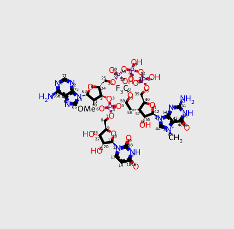 CO[C@@H]1[C@H](OP(=O)([O-])OC[C@H]2O[C@@H](n3ccc(=O)[nH]c3=O)[C@H](O)[C@@H]2O)[C@@H](COP(=O)(O)OP(=O)(O)OP(=O)(O)OC[C@H]2O[C@@H](n3c[n+](C)c4c(=O)[nH]c(N)nc43)[C@H](O)[C@@H]2CCOC(F)(F)F)O[C@H]1n1cnc2c(N)ncnc21